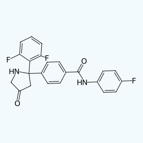 O=C1CNC(c2ccc(C(=O)Nc3ccc(F)cc3)cc2)(c2c(F)cccc2F)C1